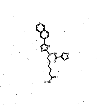 CNC(=O)CCCCC[C@H](NC(=O)c1cncs1)c1ncc(-c2ccc3cnccc3c2)[nH]1